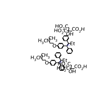 CC/C(=C(\c1ccccc1)c1ccc(OCCN(C)C)cc1)c1ccccc1.CC/C(=C(\c1ccccc1)c1ccc(OCCN(C)C)cc1)c1ccccc1.O=C(O)CC(O)(CC(=O)O)C(=O)O.O=C(O)CC(O)(CC(=O)O)C(=O)O